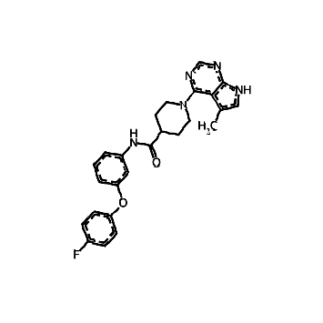 Cc1c[nH]c2ncnc(N3CCC(C(=O)Nc4cccc(Oc5ccc(F)cc5)c4)CC3)c12